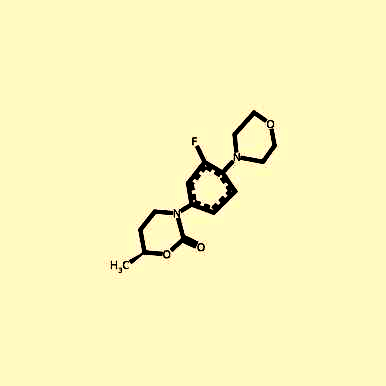 C[C@H]1CCN(c2ccc(N3CCOCC3)c(F)c2)C(=O)O1